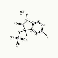 CN1C(=O)C(C)(CS(=O)(=O)O)c2cc(F)ccc21.[NaH]